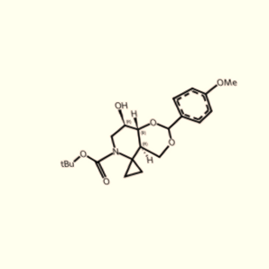 COc1ccc(C2OC[C@@H]3[C@@H](O2)[C@H](O)CN(C(=O)OC(C)(C)C)C32CC2)cc1